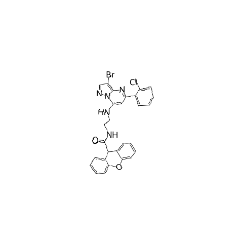 O=C(NCCNc1cc(-c2ccccc2Cl)nc2c(Br)cnn12)C1c2ccccc2Oc2ccccc21